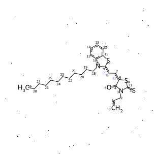 C=CCN1C(=O)/C(=C\C=C2/Sc3ccccc3N2CCCCCCCCCCCC)SC1=S